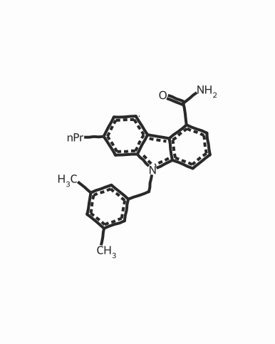 CCCc1c[c]c2c3c(C(N)=O)cccc3n(Cc3cc(C)cc(C)c3)c2c1